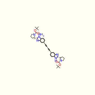 CC(C)(C)OC(=O)N1CCC[C@H]1c1nc2cc(C#CC#Cc3ccc4c(c3)nc([C@@H]3CCCN3C(=O)OC(C)(C)C)n4N)ccc2[nH]1